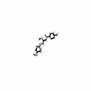 C=N/C(=C\N(C)c1ccc(F)cc1)COc1ncc(OC)cn1